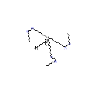 CCCCC/C=C\C/C=C\CCCCCCCCC(CCCCCCC/C=C\C/C=C\CCCCC)C(CCCCCCC/C=C\C/C=C\CCCCC)OC(=O)CCCCCN(C)C